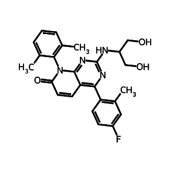 Cc1cc(F)ccc1-c1nc(NC(CO)CO)nc2c1ccc(=O)n2-c1c(C)cccc1C